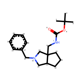 CC(C)(C)OC(=O)NCC12CCCC1CN(Cc1ccccc1)C2